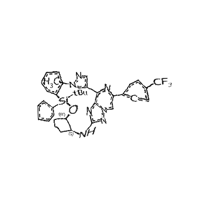 Cn1cc(-c2nc(-c3ccc(C(F)(F)F)cc3)cn3nc(N[C@H]4CCC[C@H]4O[Si](c4ccccc4)(c4ccccc4)C(C)(C)C)nc23)cn1